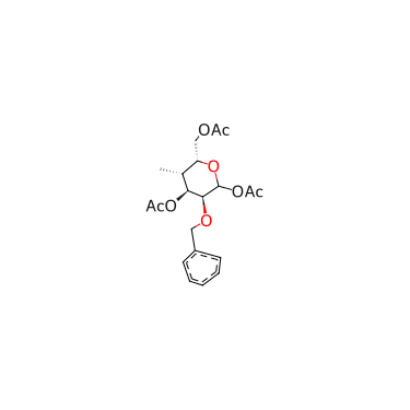 CC(=O)OC[C@@H]1OC(OC(C)=O)[C@@H](OCc2ccccc2)[C@@H](OC(C)=O)[C@@H]1C